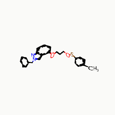 Cc1ccc(SOCCCOc2cccc3nn(Cc4ccccc4)cc23)cc1